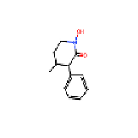 CC1CCN(O)C(=O)C1c1ccccc1